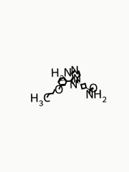 CCCCOc1cccc(-c2nc([C@H]3C[C@H](C(N)=O)C3)n3ccnc(N)c23)c1